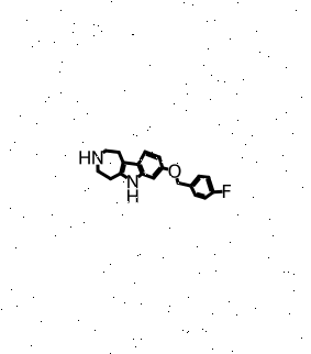 Fc1ccc(COc2ccc3c4c([nH]c3c2)CCNCC4)cc1